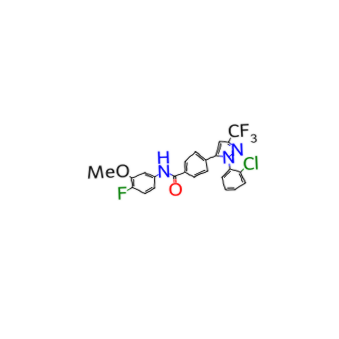 COc1cc(NC(=O)c2ccc(-c3cc(C(F)(F)F)nn3-c3ccccc3Cl)cc2)ccc1F